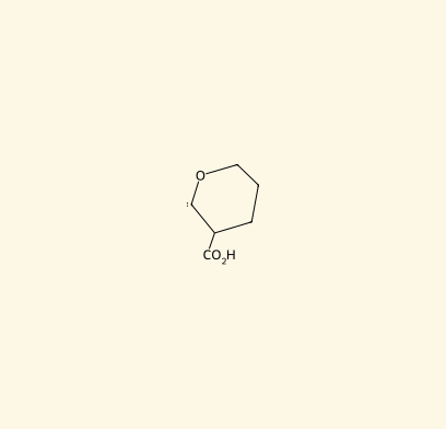 O=C(O)C1[C]OCCC1